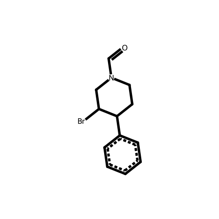 O=CN1CCC(c2ccccc2)C(Br)C1